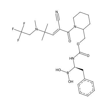 CN(CC(F)(F)F)C(C)(C)C=C(C#N)C(=O)N1CCCCC1COC(=O)N[C@@H](Cc1ccccc1)B(O)O